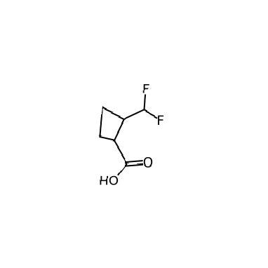 O=C(O)C1CCC1C(F)F